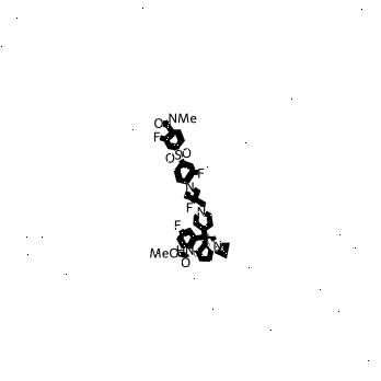 CNC(=O)c1ccc(S(=O)(=O)c2ccc(N3CC(F)(CN4CCC([C@@](CN5CCC5)(c5cccc(F)c5)[C@H]5CCC[C@@H]5NC(=O)OC)CC4)C3)c(F)c2)cc1F